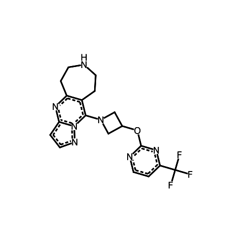 FC(F)(F)c1ccnc(OC2CN(c3c4c(nc5ccnn35)CCNCC4)C2)n1